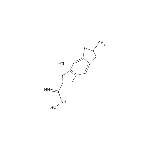 CC1Cc2cc3c(cc2C1)CC(C(=N)NO)C3.Cl